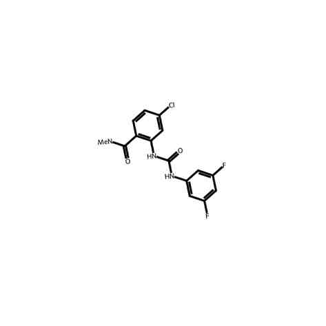 CNC(=O)c1ccc(Cl)cc1NC(=O)Nc1cc(F)cc(F)c1